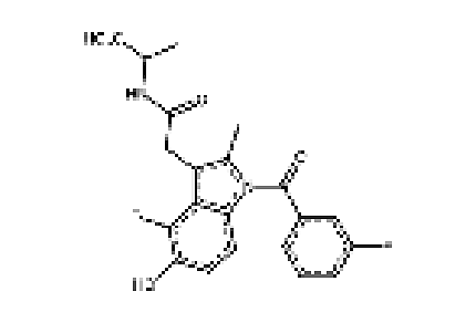 Cc1c(CC(=O)NC(C)C(=O)O)c2c(F)c(O)ccc2n1C(=O)c1cccc(F)c1